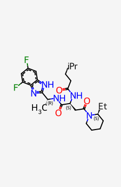 CC[C@H]1CCCCN1C(=O)C[C@H](NC(=O)CCC(C)C)C(=O)N[C@H](C)c1nc2c(F)cc(F)cc2[nH]1